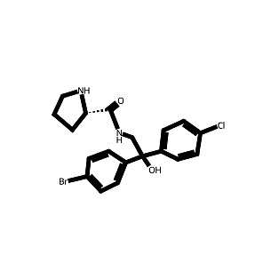 O=C(NCC(O)(c1ccc(Cl)cc1)c1ccc(Br)cc1)[C@@H]1CCCN1